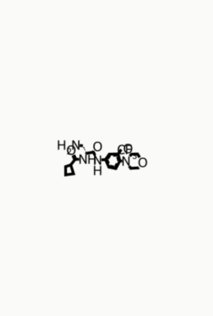 NC[C@@H](NC(=O)C1CCC1)C(=O)Nc1ccc(N2CCOCC2=O)c(C(F)(F)F)c1